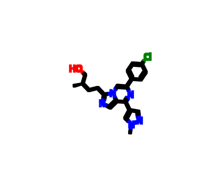 C[C@@H](CO)CCc1ncc2c(-c3cnn(C)c3)nc(-c3ccc(Cl)cc3)cn12